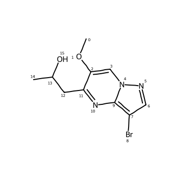 COc1cn2ncc(Br)c2nc1CC(C)O